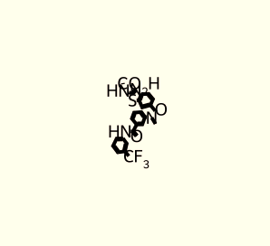 CN(C(=O)c1ccc2nc(NC(=O)O)sc2c1)c1cccc(C(=O)Nc2cccc(C(F)(F)F)c2)c1